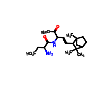 COC(=O)C(C=CC1C2(C)CCC(C2)C1(C)C)NC(=O)[C@@H](N)CC(=O)O